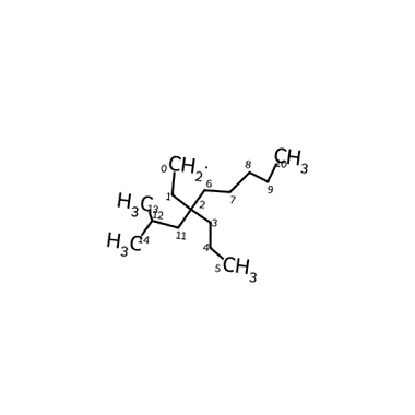 [CH2]CC(CCC)(CCCCC)CC(C)C